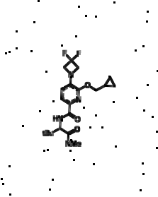 CNC(=O)C(NC(=O)c1ccc(N2CC(F)(F)C2)c(OCC2CC2)n1)C(C)(C)C